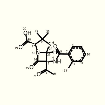 CC(=O)[C@]1(NC(=O)c2ccccc2I)C(=O)N2[C@@H](C(=O)O)C(C)(C)S[C@@H]21